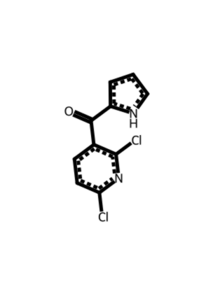 O=C(c1ccc[nH]1)c1ccc(Cl)nc1Cl